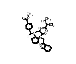 CNC(C)C(=O)NC1CN(C(=O)c2ccc(C(=O)OC)cc2)c2ccccc2N(Cc2noc3ccccc23)C1=O.Cl